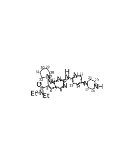 CCN(CC)C(=O)c1cc2cnc(Nc3ccc(N4CCNCC4)cn3)nc2n1N1CCCCC1